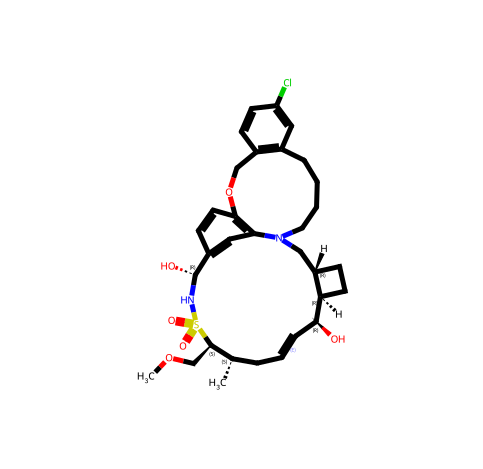 COC[C@@H]1[C@@H](C)C/C=C/[C@H](O)[C@@H]2CC[C@H]2CN2CCCCc3cc(Cl)ccc3COc3ccc(cc32)[C@@H](O)NS1(=O)=O